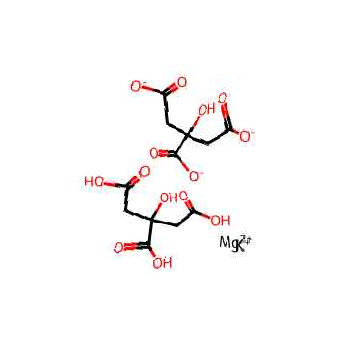 O=C(O)CC(O)(CC(=O)O)C(=O)O.O=C([O-])CC(O)(CC(=O)[O-])C(=O)[O-].[K+].[Mg+2]